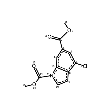 COC(=O)c1cc(Cl)c2ccn(C(=O)OC)c2c1